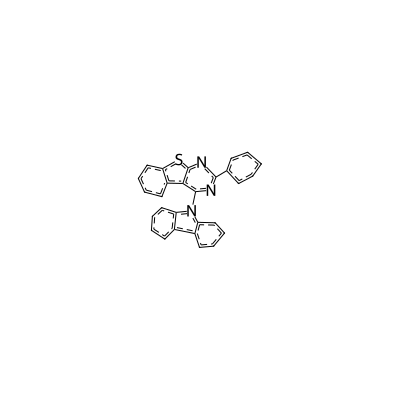 c1ccc(-c2nc(-n3c4ccccc4c4ccccc43)c3c(n2)sc2ccccc23)cc1